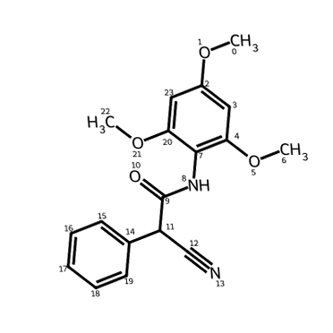 COc1cc(OC)c(NC(=O)C(C#N)c2ccccc2)c(OC)c1